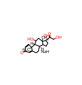 C[C@]12C=CC(=O)C=C1CC[C@@H]1C3CC[C@](O)(C(=O)CO)[C@@]3(C)CC(O)[C@H]12.[NaH]